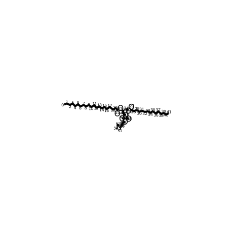 CCCCCCCCCCCCCCCCCCCCC(=O)O[C@H](COC(=O)CCCCCCCCCCCCCC)COP(=O)([O-])OCC[N+](C)(C)C